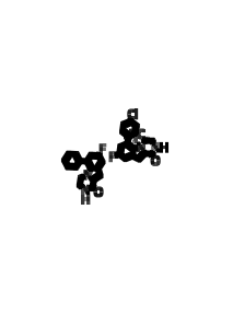 C[C@@H]1CNC(=O)c2cc3cc(F)cc(-c4ccc(Cl)cc4)c3n21.O=C1NCCn2c1cc1cc(F)cc(-c3ccccc3)c12